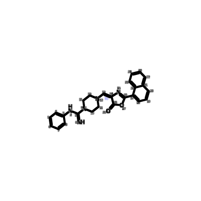 N=C(Nc1ccccc1)N1CCN(/C=C2/N=C(c3cccc4ccccc34)OC2=O)CC1